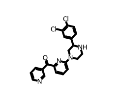 O=C(c1cccnc1)c1cccc(N2CCNC(c3ccc(Cl)c(Cl)c3)C2)n1